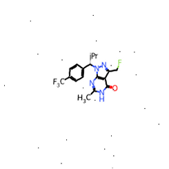 Cc1nc2c(c(CF)nn2[C@H](c2ccc(C(F)(F)F)cc2)C(C)C)c(=O)[nH]1